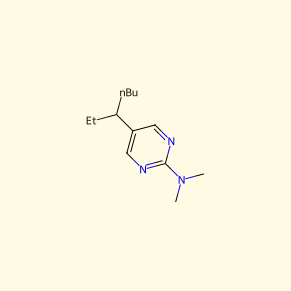 CCCCC(CC)c1cnc(N(C)C)nc1